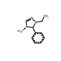 CCN1N=CN(C)C1c1ccccc1